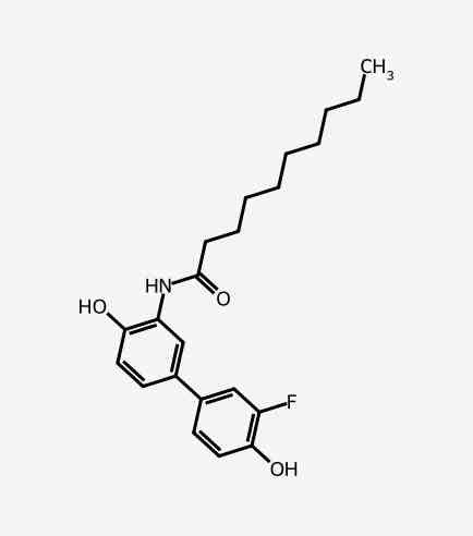 CCCCCCCCCC(=O)Nc1cc(-c2ccc(O)c(F)c2)ccc1O